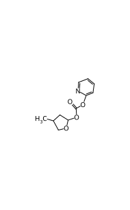 CC1COC(OC(=O)Oc2ccccn2)C1